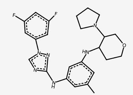 Cc1cc(Nc2ncn(-c3cc(F)cc(F)c3)n2)cc(NC2CCOCC2N2CCCC2)c1